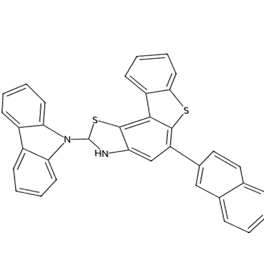 c1ccc2cc(-c3cc4c(c5c3sc3ccccc35)SC(n3c5ccccc5c5ccccc53)N4)ccc2c1